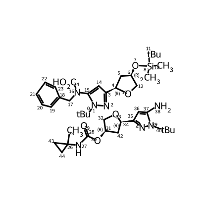 CC(C)(C)n1nc([C@H]2C[C@@H](O[Si](C)(C)C(C)(C)C)CO2)cc1N(Cc1ccccc1)C(=O)O.CC1(NC(=O)O[C@H]2CO[C@@H](c3cc(N)n(C(C)(C)C)n3)C2)CC1